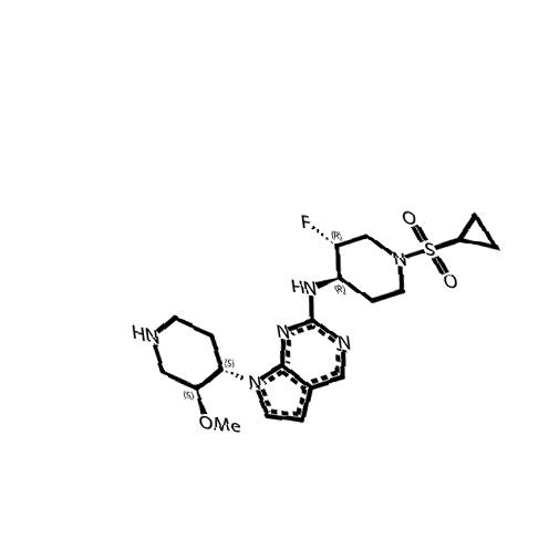 CO[C@H]1CNCC[C@@H]1n1ccc2cnc(N[C@@H]3CCN(S(=O)(=O)C4CC4)C[C@H]3F)nc21